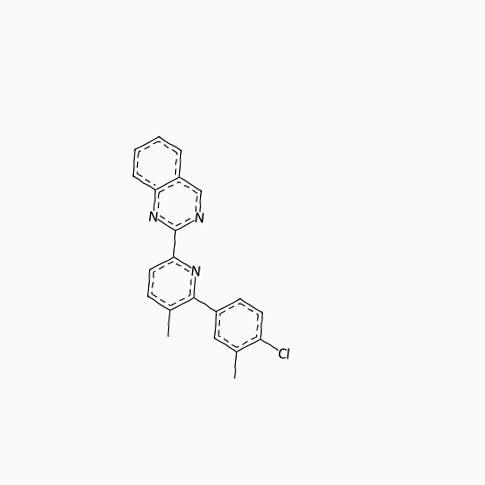 Cc1cc(-c2nc(-c3ncc4ccccc4n3)ccc2C)ccc1Cl